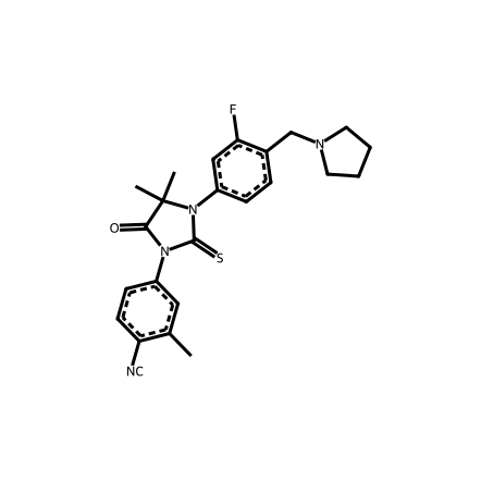 [C-]#[N+]c1ccc(N2C(=O)C(C)(C)N(c3ccc(CN4CCCC4)c(F)c3)C2=S)cc1C